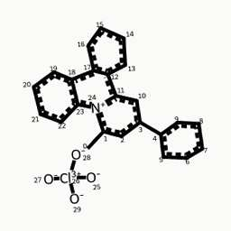 Cc1cc(-c2ccccc2)cc2c3ccccc3c3ccccc3[n+]12.[O-][Cl+3]([O-])([O-])[O-]